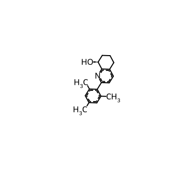 Cc1cc(C)c(-c2ccc3c(n2)[C@@H](O)CCC3)c(C)c1